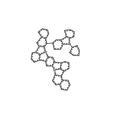 c1ccc(-n2c3ccccc3c3cc(-c4c5ccccc5cc5c6cccc7c8cc9c(cc8n(c45)c76)c4cccc5c6c7ccccc7ccc6n9c45)ccc32)cc1